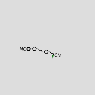 N#C/C(F)=C/CC[C@H]1CC[C@H](CCCC[C@H]2CC[C@H](c3ccc(C#N)cc3)CC2)CC1